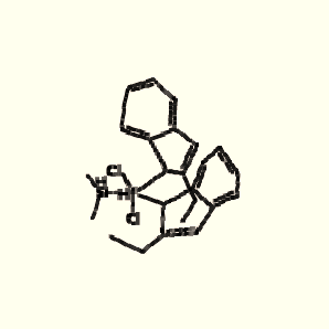 CCC1=Cc2ccccc2[CH]1[Hf]([Cl])([Cl])([CH]1C(CC)=Cc2ccccc21)[SiH](C)C